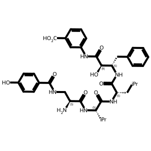 CC(C)C[C@H](NC(=O)[C@@H](NC(=O)[C@@H](N)CNC(=O)c1ccc(O)cc1)C(C)C)C(=O)N[C@@H](Cc1ccccc1)[C@@H](O)C(=O)Nc1cccc(C(=O)O)c1